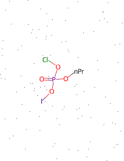 CCCOP(=O)(OCl)OI